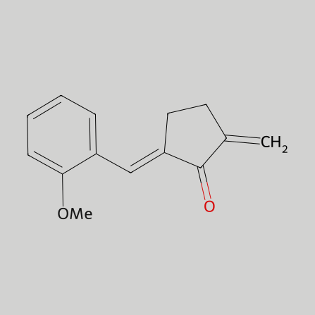 C=C1CC/C(=C\c2ccccc2OC)C1=O